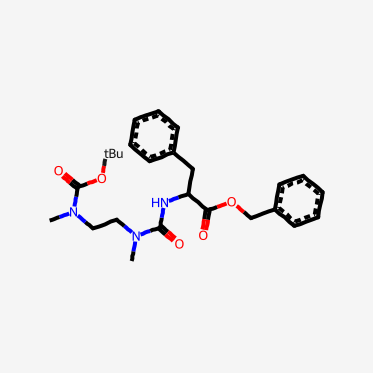 CN(CCN(C)C(=O)OC(C)(C)C)C(=O)NC(Cc1ccccc1)C(=O)OCc1ccccc1